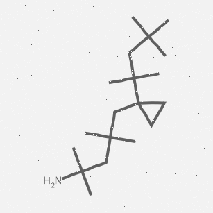 CC(C)(C)CC(C)(C)C1(CC(C)(C)CC(C)(C)N)CC1